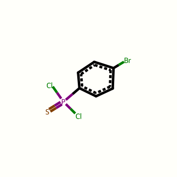 S=P(Cl)(Cl)c1ccc(Br)cc1